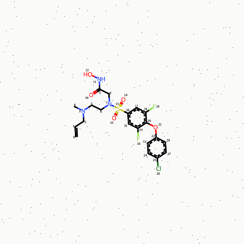 C=CCN(C)CCN(CC(=O)NO)S(=O)(=O)c1cc(F)c(Oc2ccc(Cl)cc2)c(F)c1